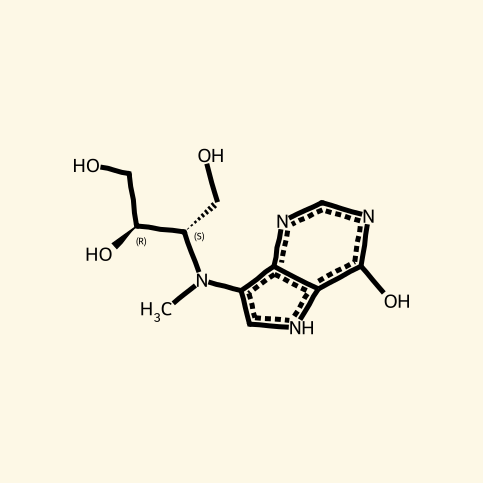 CN(c1c[nH]c2c(O)ncnc12)[C@@H](CO)[C@@H](O)CO